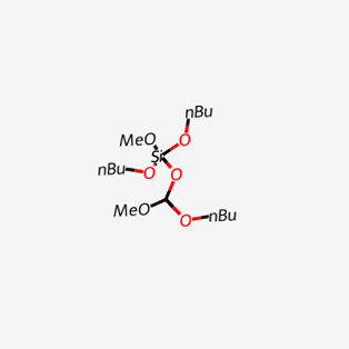 CCCCOC(OC)O[Si](OC)(OCCCC)OCCCC